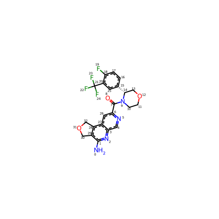 Nc1nc2cnc(C(=O)N3CCOC[C@H]3c3ccc(F)c(C(F)(F)F)c3)cc2c2c1COC2